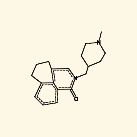 CN1CCC(Cn2cc3c4c(cccc4c2=O)CCC3)CC1